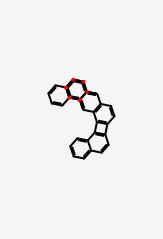 c1ccc2c3c(ccc2c1)-c1ccc2c(c1-3)c1c3ccccc3c2c2ccc3ccccc3c21